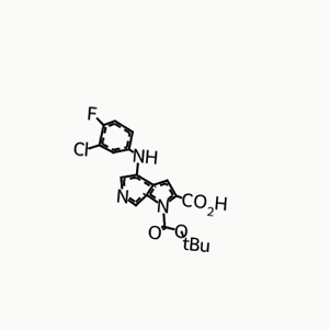 CC(C)(C)OC(=O)n1c(C(=O)O)cc2c(Nc3ccc(F)c(Cl)c3)cncc21